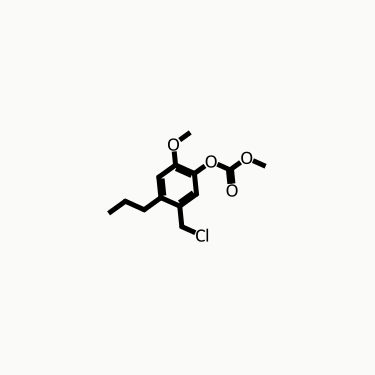 CCCc1cc(OC)c(OC(=O)OC)cc1CCl